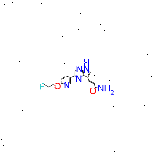 NC(=O)C=Cc1c[nH]c2ncc(-c3ccc(OCCCF)nc3)nc12